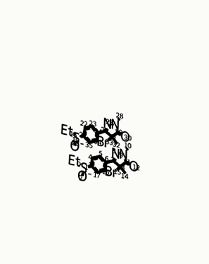 CC[S+]([O-])c1ccc(C2=NN(C)C(=O)C2(C)Br)cc1.CC[S+]([O-])c1ccc(C2=NN(C)C(=O)C2(C)Br)cc1